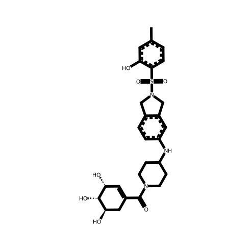 Cc1ccc(S(=O)(=O)N2Cc3ccc(NC4CCN(C(=O)C5=C[C@@H](O)[C@@H](O)[C@H](O)C5)CC4)cc3C2)c(O)c1